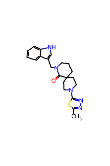 Cc1nnc(N2CCC3(CCCN(Cc4c[nH]c5ccccc45)C3=O)CC2)s1